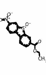 CCOC(=O)c1ccc2c3ccc([N+](=O)[O-])cc3[s+]([O-])c2c1